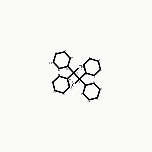 CC(C1CCCCC1)(C1CCCCC1)C(C)(C1CCCCC1)C1CCCCC1